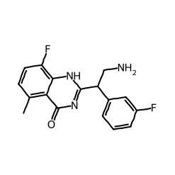 Cc1ccc(F)c2[nH]c(C(CN)c3cccc(F)c3)nc(=O)c12